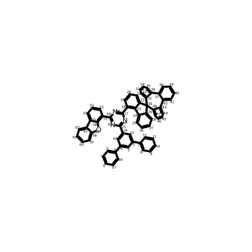 c1ccc(-c2cc(-c3ccccc3)cc(-c3nc(-c4cccc5c4-c4ccccc4C54c5ccccc5-c5ccccc5-c5ccccc54)nc(-c4cccc5c4oc4ccccc45)n3)c2)cc1